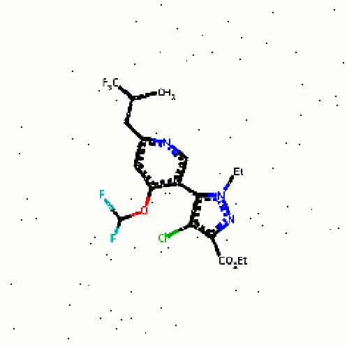 CCOC(=O)c1nn(CC)c(-c2cnc(CC(C)C(F)(F)F)cc2OC(F)F)c1Cl